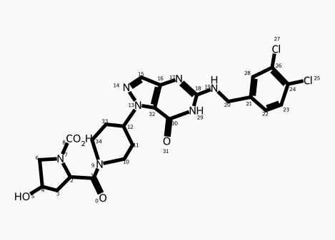 O=C(C1CC(O)CN1C(=O)O)N1CCC(n2ncc3nc(NCc4ccc(Cl)c(Cl)c4)[nH]c(=O)c32)CC1